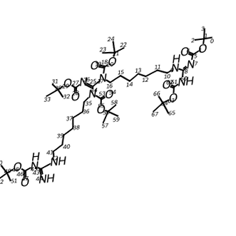 CC(C)(C)OC(=O)/N=C(\NCCCCCCCN(C(=O)OC(C)(C)C)/C(=N/C(=O)OC(C)(C)C)N(CCCCCCCNC(=N)NC(=O)OC(C)(C)C)C(=O)OC(C)(C)C)NC(=O)OC(C)(C)C